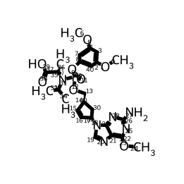 COc1cc(OC)cc(OP(=O)(OC[C@@H]2C=C[C@H](n3cnc4c(OC)nc(N)nc43)C2)N(C(C)C)[C@@H](C)C(=O)O)c1